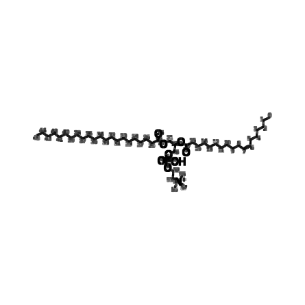 CCCCCC/C=C\CCCCCCCCCC(=O)O[C@H](COC(=O)CCCCCCCCCCCCCCCCCCCCC)COP(=O)(O)OCC[N+](C)(C)C